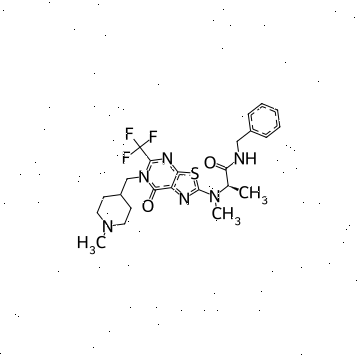 C[C@H](C(=O)NCc1ccccc1)N(C)c1nc2c(=O)n(CC3CCN(C)CC3)c(C(F)(F)F)nc2s1